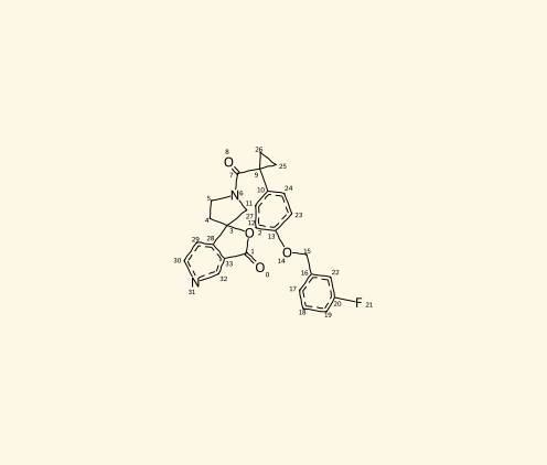 O=C1OC2(CCN(C(=O)C3(c4ccc(OCc5cccc(F)c5)cc4)CC3)C2)c2ccncc21